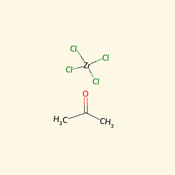 CC(C)=O.[Cl][Zr]([Cl])([Cl])[Cl]